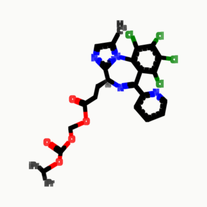 Cc1cnc2n1-c1c(Cl)c(Cl)c(Cl)c(Cl)c1C(c1ccccn1)=N[C@H]2CCC(=O)OCOC(=O)OC(C(C)C)C(C)C